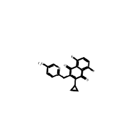 O=C1C(Cc2ccc(C(F)(F)F)cn2)=C(C2CC2)C(=O)c2c(F)ccc(F)c21